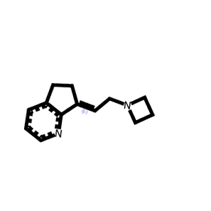 C(/CN1CCC1)=C1/CCc2cccnc21